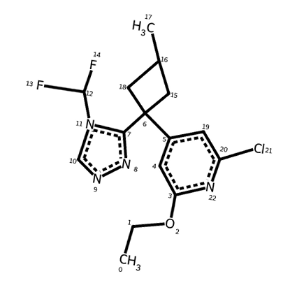 CCOc1cc(C2(c3nncn3C(F)F)CC(C)C2)cc(Cl)n1